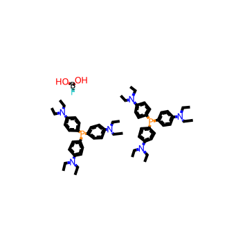 CCN(CC)c1ccc(P(c2ccc(N(CC)CC)cc2)c2ccc(N(CC)CC)cc2)cc1.CCN(CC)c1ccc(P(c2ccc(N(CC)CC)cc2)c2ccc(N(CC)CC)cc2)cc1.OB(O)F